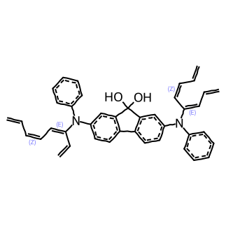 C=C/C=C\C=C(/C=C)N(c1ccccc1)c1ccc2c(c1)C(O)(O)c1cc(N(C(/C=C\C=C)=C/C=C)c3ccccc3)ccc1-2